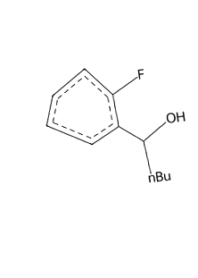 CCCCC(O)c1ccccc1F